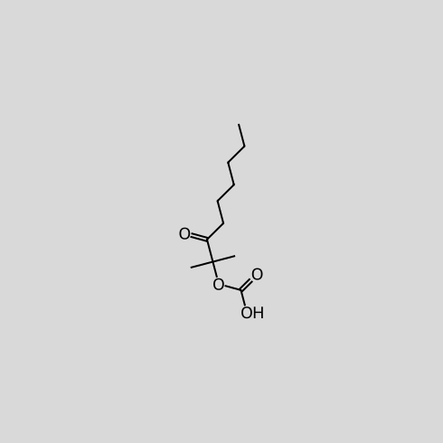 CCCCCCC(=O)C(C)(C)OC(=O)O